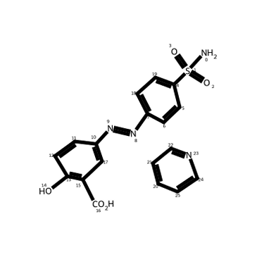 NS(=O)(=O)c1ccc(N=Nc2ccc(O)c(C(=O)O)c2)cc1.c1ccncc1